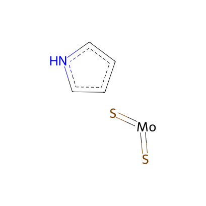 [S]=[Mo]=[S].c1cc[nH]c1